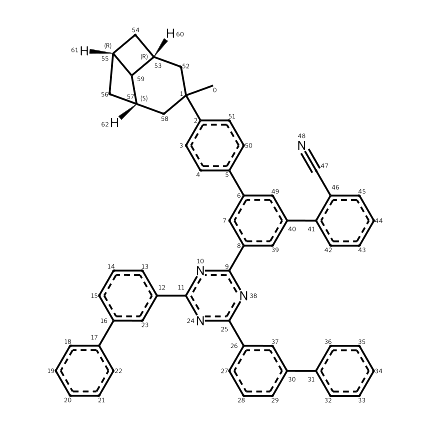 CC1(c2ccc(-c3cc(-c4nc(-c5cccc(-c6ccccc6)c5)nc(-c5cccc(-c6ccccc6)c5)n4)cc(-c4ccccc4C#N)c3)cc2)C[C@H]2C[C@H]3C[C@@H](C1)C32